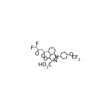 O=C(O)c1nn(-c2ccc(OC(F)(F)F)cc2)c2cccc(C(=O)CC(=O)C(F)F)c2c1=O